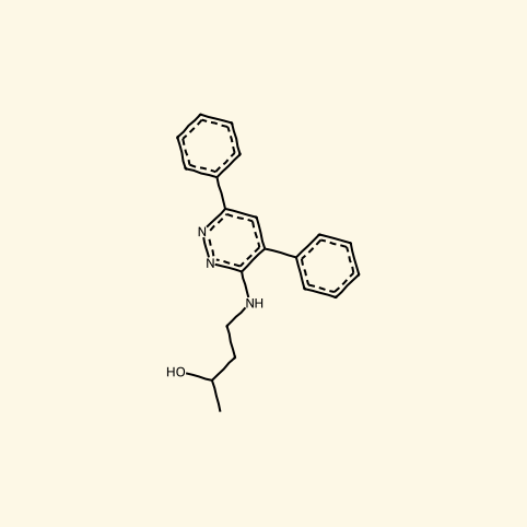 CC(O)CCNc1nnc(-c2ccccc2)cc1-c1ccccc1